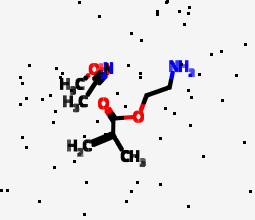 C=C(C)C(=O)OCCN.CC#N.CO